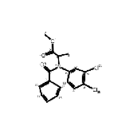 COC(=O)C(C)N(C(=O)c1ccccc1)c1ccc(Cl)c(Cl)c1